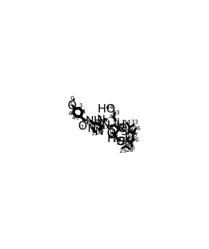 COc1ccc(C(=O)Nc2ncnc3c2ncn3[C@@H]2O[C@@H]3CO[Si](C(C)C)(C(C)C)O[Si](C(C)C)(C(C)C)O[C@H]3[C@@H]2CCCO)cc1